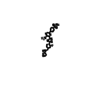 CCC(C)S(=O)(=O)c1ccc(-c2cnc(N)c(-c3nnc(-c4ccc(CN[C@@H]5CCOC5)cc4F)o3)n2)cc1